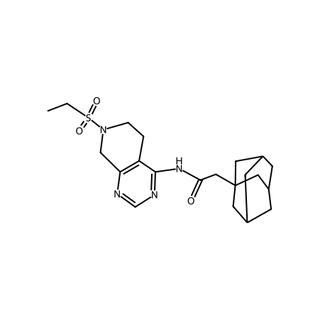 CCS(=O)(=O)N1CCc2c(ncnc2NC(=O)CC23CC4CC(CC(C4)C2)C3)C1